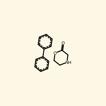 O=C1CNCCO1.c1ccc(-c2ccccc2)cc1